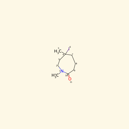 CN1CCC(C)(I)CCCC1=O